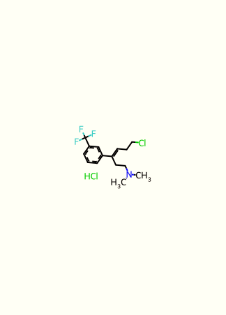 CN(C)CCC(=CCCCl)c1cccc(C(F)(F)F)c1.Cl